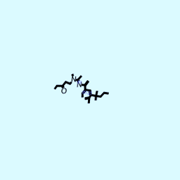 C=C(C)/C(=C\C(=C/C)C(=C)/N=C(\C)N(C)CCC(=O)CC)C(C)(C)CCC